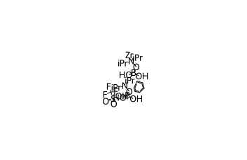 CC(C)N(OB(O)O)C(C)C.CC(C)N(OB(O)O)C(C)C.O=S(=O)(O)C(F)(F)F.[Zr].c1ccccc1